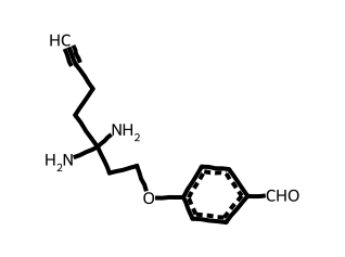 C#CCCC(N)(N)CCOc1ccc(C=O)cc1